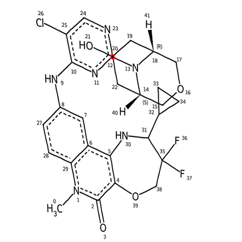 Cn1c(=O)c2c(c3cc(Nc4nc(N5[C@@H]6COC[C@H]5CC(O)C6)ncc4Cl)ccc31)NC(C1CC1)C(F)(F)CO2